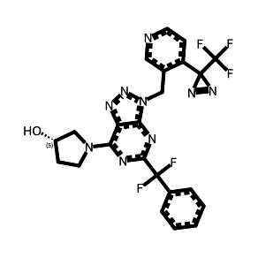 O[C@H]1CCN(c2nc(C(F)(F)c3ccccc3)nc3c2nnn3Cc2cnccc2C2(C(F)(F)F)N=N2)C1